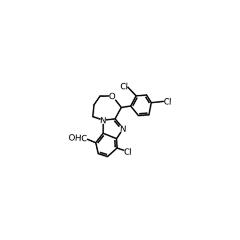 O=Cc1ccc(Cl)c2nc3n(c12)CCCOC3c1ccc(Cl)cc1Cl